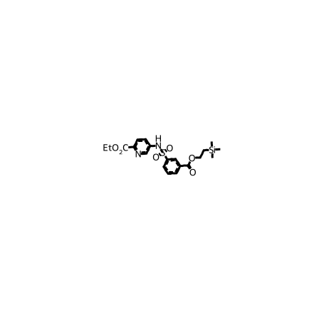 CCOC(=O)c1ccc(NS(=O)(=O)c2cccc(C(=O)OCC[Si](C)(C)C)c2)cn1